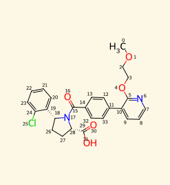 COCCOc1ncccc1-c1ccc(C(=O)N2[C@@H](c3ccccc3Cl)CC[C@H]2C(=O)O)cc1